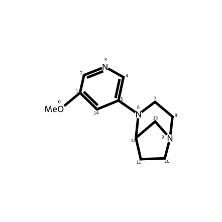 COc1cncc(N2CCN3CCC2C3)c1